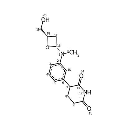 CN(c1cccc(C2CCC(=O)NC2=O)c1)[C@H]1C[C@H](CO)C1